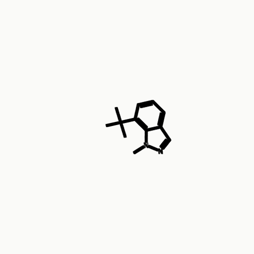 Cn1ncc2cccc(C(C)(C)C)c21